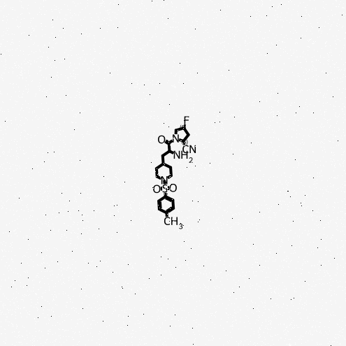 Cc1ccc(S(=O)(=O)N2CCC(CC(N)C(=O)N3C[C@@H](F)C[C@H]3C#N)CC2)cc1